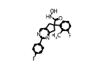 Cc1c(F)cccc1C1(C(=O)NO)Cc2cnc(-c3ccc(F)cc3)nc2C1